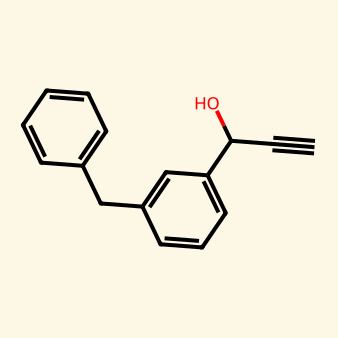 C#CC(O)c1cccc(Cc2ccccc2)c1